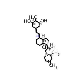 C=C1[C@H](O)CC(=C/C=C2\CCC[C@]3(C)[C@@H]([C@H](C)CN4CCN(C)C[C@H]4C)CC[C@@H]23)C[C@H]1O